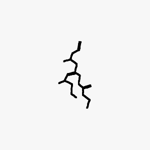 C=CCC(C)CC(=CC(C)CCC)CCC(=C)CCC